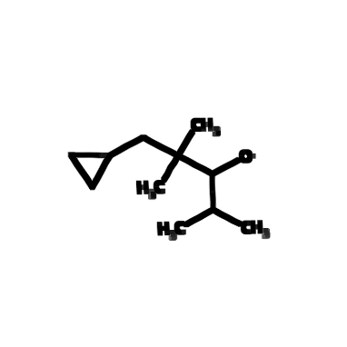 CC(C)C([O])C(C)(C)CC1CC1